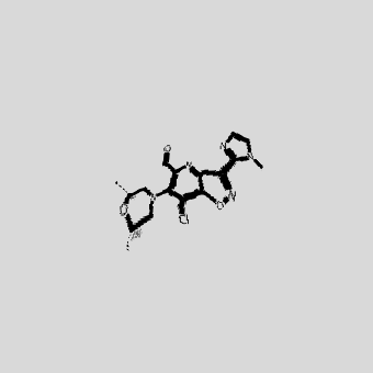 C[C@@H]1CN(c2c(C=O)nc3c(-c4nccn4C)noc3c2Cl)C[C@H](C)O1